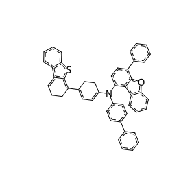 C1=C(C2=c3sc4ccccc4c3=CCC2)CCC(N(c2ccc(-c3ccccc3)cc2)c2ccc(-c3ccccc3)c3oc4ccccc4c23)=C1